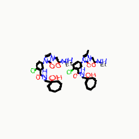 CCNC(=O)Cn1c(C)cn(-c2ccc(Cl)c(C(=O)NCC3(O)CCCCCC3)c2)c1=O.CCNC(=O)Cn1ccn(-c2ccc(Cl)c(C(=O)NCC3(O)CCCCCC3)c2)c1=O